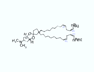 CCCC/C=C\C/C=C\CCCCCCCC[C@]1(CCCCCCCC/C=C\C/C=C\CCCCC)CCC2(C1)O[C@@H]1CC(N(C)C)C[C@H]1O2